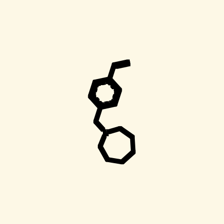 C=Cc1ccc(CN2CCCCCC2)cc1